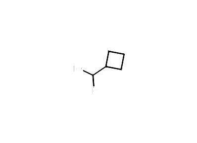 O[CH]([Pr])C1CCC1